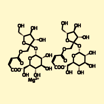 O=C([O-])/C=C\C(=O)OC[C@@]1(O[C@H]2O[C@H](CO)[C@@H](O)[C@H](O)[C@H]2O)O[C@H](CO)[C@@H](O)[C@@H]1O.O=C([O-])/C=C\C(=O)OC[C@@]1(O[C@H]2O[C@H](CO)[C@@H](O)[C@H](O)[C@H]2O)O[C@H](CO)[C@@H](O)[C@@H]1O.[Mg+2]